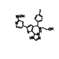 CC(=O)Nc1cc(-c2cc(C(NCCO)c3ccc(I)cc3)c(-c3nnc[nH]3)s2)ccn1